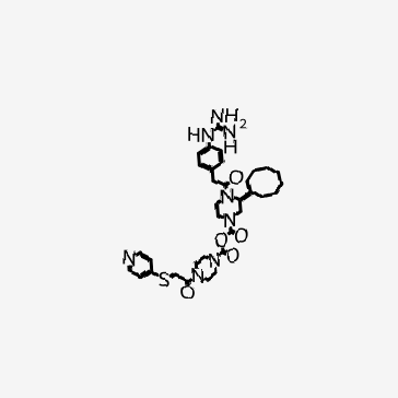 N=C(N)Nc1ccc(CC(=O)N2CCN(C(=O)OC(=O)N3CCN(C(=O)CSc4ccncc4)CC3)CC2=C2CCCCCCC2)cc1